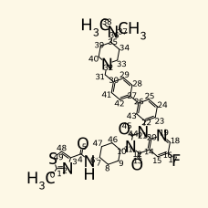 Cc1nc(C(=O)N[C@H]2CC[C@@H](n3c(=O)c4cc(F)cnc4n(-c4cccc(-c5ccc(CN6CCC(N(C)C)CC6)cc5)c4)c3=O)CC2)cs1